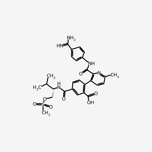 Cc1ccc(-c2ccc(C(=O)N[C@H](COS(C)(=O)=O)C(C)C)cc2C(=O)O)c(C(=O)Nc2ccc(C(=N)N)cc2)n1